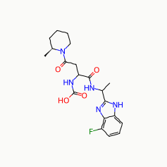 CC(NC(=O)C(CC(=O)N1CCCC[C@@H]1C)NC(=O)O)c1nc2c(F)cccc2[nH]1